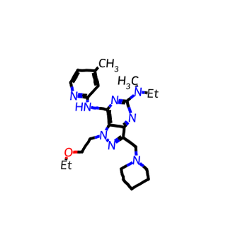 CCOCCn1nc(CN2CCCCC2)c2nc(N(C)CC)nc(Nc3cc(C)ccn3)c21